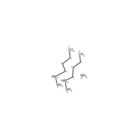 CCCCN[SiH3].CCCCN[SiH3].[SiH4]